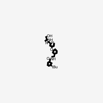 CC(C)(C)c1cccc(C(=O)NCCc2cccc(Oc3ccnc(-c4ncc(CO)[nH]4)c3)c2)c1